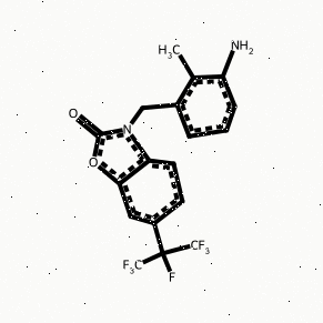 Cc1c(N)cccc1Cn1c(=O)oc2cc(C(F)(C(F)(F)F)C(F)(F)F)ccc21